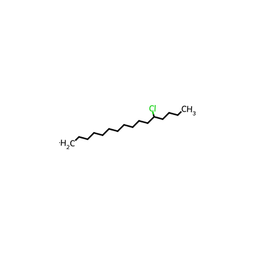 [CH2]CCCCCCCCCCC(Cl)CCCC